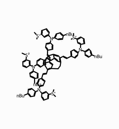 CCCCc1ccc(N(c2ccc(/C=C/c3cc4c(/C=C/c5ccc(N(c6ccc(CCCC)cc6)c6cccc([S+](C)C)c6)cc5)cc3CCc3cc(/C=C/c5ccc(N(c6ccc(CCCC)cc6)c6cccc([S+](C)C)c6)cc5)c(cc3/C=C/c3ccc(N(c5ccc(CCCC)cc5)c5cccc([S+](C)C)c5)cc3)CC4)cc2)c2cccc([S+](C)C)c2)cc1